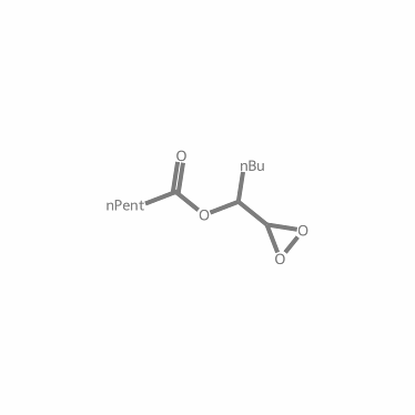 CCCCCC(=O)OC(CCCC)C1OO1